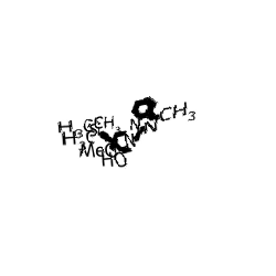 COC1(C#C[Si](C)(C)C)CCN(Cc2nc(C)c3ccccc3n2)CC1O